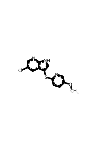 COc1ccc(Sc2c[nH]c3ncc(Cl)cc23)nc1